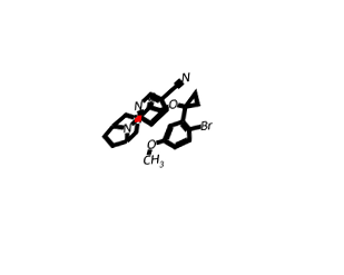 COc1ccc(Br)c(C2(OCC(=O)N3CC4CCC(C3)N4c3ccc(C#N)cn3)CC2)c1